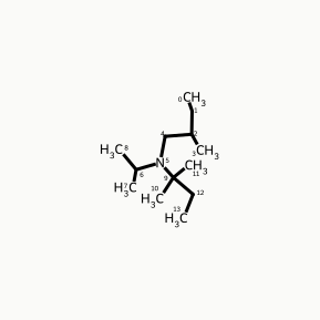 CCC(C)CN(C(C)C)C(C)(C)CC